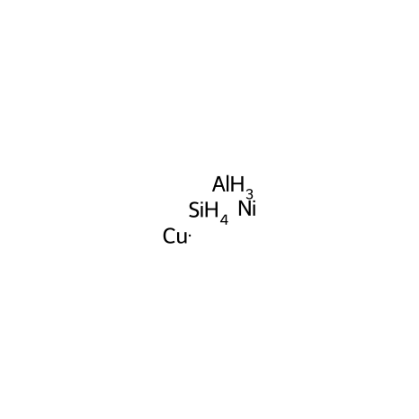 [AlH3].[Cu].[Ni].[SiH4]